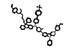 C=Cc1ccc(CC(CC)CCCCC2(c3ccccc3)c3ccccc3-c3ccc(N(C4=CC=C(c5ccc6c(c5)c5c(n6-c6ccccc6)=CCC(c6ccc(C=C)cc6)C=5)C(C)C4)c4ccc(-c5ccc(C(C)(C)C)cc5)cc4)cc32)cc1